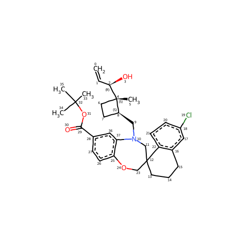 C=C[C@@H](O)[C@@]1(C)CC[C@@H]1CN1CC2(CCCc3cc(Cl)ccc32)COc2ccc(C(=O)OC(C)(C)C)cc21